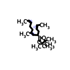 C/C=C\CC/C(C)=C\C(C/C=C\C)B1OC(C)(C)C(C)(C)O1